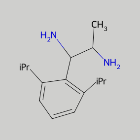 CC(C)c1cccc(C(C)C)c1C(N)C(C)N